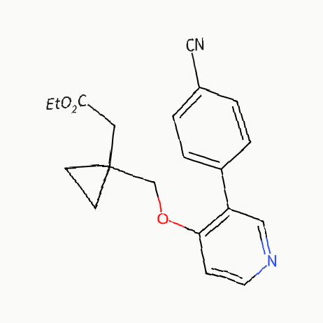 CCOC(=O)CC1(COc2ccncc2-c2ccc(C#N)cc2)CC1